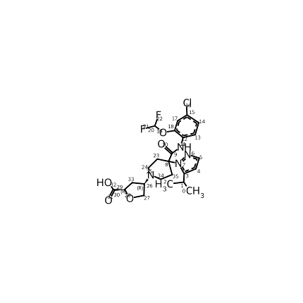 CC(C)c1ccnn1C1(C(=O)Nc2ccc(Cl)cc2OC(F)F)CCN([C@H]2CO[C@@H](C(=O)O)C2)CC1